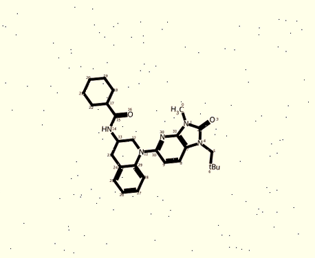 Cn1c(=O)n(CC(C)(C)C)c2ccc(N3CC(NC(=O)C4CCCCC4)Cc4ccccc43)nc21